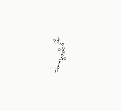 CC1(C)c2cc(C#N)ccc2-c2ccc(-c3ccc(-c4ccc5nc(-c6ccc(-c7cc8c(cc7C#N)c7ccc(-c9cccc(-c%10ccc%11nc(-c%12ccccc%12)c%12c(nc%13ccccn%13%12)c%11c%10)c9)cc7n8-c7ccccc7)cc6)c6c(nc7ccccn76)c5c4)cc3)cc21